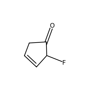 O=C1CC=CC1F